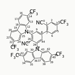 N#Cc1cc(C(F)(F)F)ccc1-c1cc(-n2c3cc(C(F)(F)F)ccc3c3ccc(C(F)(F)F)cc32)c(C#N)c(-n2c3cc(C(F)(F)F)ccc3c3ccc(C(F)(F)F)cc32)c1